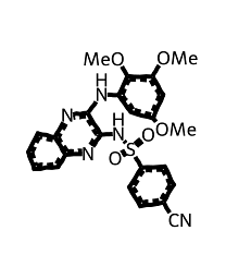 COc1cc(Nc2nc3ccccc3nc2NS(=O)(=O)c2ccc(C#N)cc2)c(OC)c(OC)c1